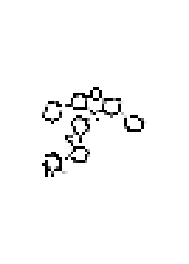 Cc1ncccc1-c1cccc2c1sc1ccc(C3(C)c4cc(-c5ccccc5)ccc4Oc4ccc(-c5ccccc5)cc43)cc12